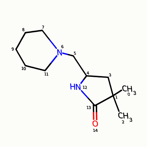 CC1(C)CC(CN2CCCCC2)NC1=O